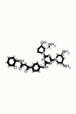 NC[C@H]1[C@@H](O)CCN1c1nc(Nc2ccc(C(=O)CC(=O)Nc3ccccc3Cl)cc2)nc(N2C[C@H](N)C[C@H](N)C2)n1